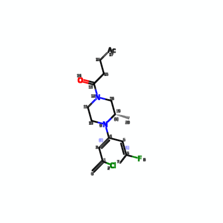 C=C(Cl)/C=C(\C=C(/C)F)N1CCN(C(=O)CCC(C)=O)C[C@@H]1C